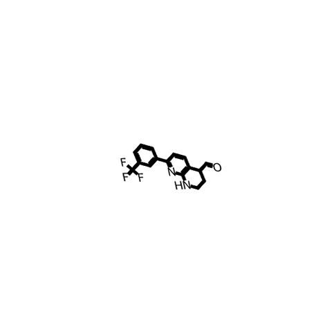 O=CC1CCNc2nc(-c3cccc(C(F)(F)F)c3)ccc21